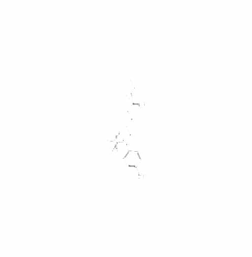 CCOC(=O)CCCCN(c1ccc(Br)cc1)S(C)(=O)=O